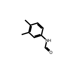 Cc1ccc(NC=O)cc1C